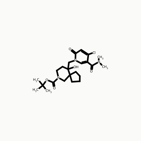 CN(C)C(=O)c1cn(CC2(O)CCN(C(=O)OC(C)(C)C)CC23CCCC3)c(=O)cc1Cl